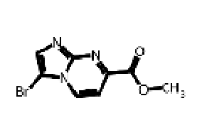 COC(=O)c1ccn2c(Br)cnc2n1